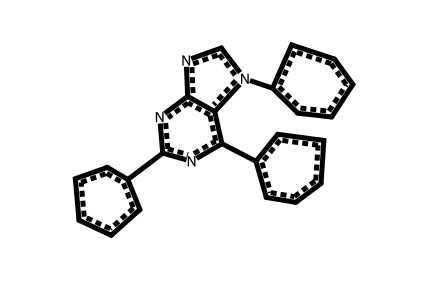 c1ccc(-c2nc(-c3ccccc3)c3c(ncn3-c3ccccc3)n2)cc1